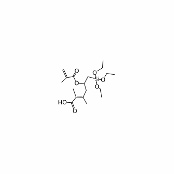 C=C(C)C(=O)OC(CC(C)=C(C)C(=O)O)C[Si](OCC)(OCC)OCC